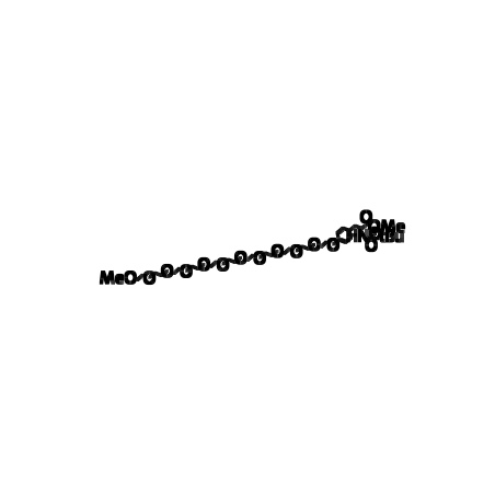 COCCOCCOCCOCCOCCOCCOCCOCCOCCOCCOCCOc1ccc(CC(NC(=O)OC(C)(C)C)C(=O)OC)cc1